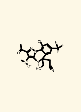 CC(=O)c1nn2c(c1[S+](C)[O-])NC(CO)(CC#N)c1cc(C(F)(F)F)cc(Cl)c1-2